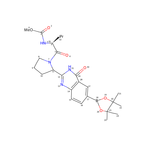 COC(=O)N[C@H](C(=O)N1CCCC1c1nc2ccc(B3OC(C)(C)C(C)(C)O3)cc2c(=O)[nH]1)C(C)C